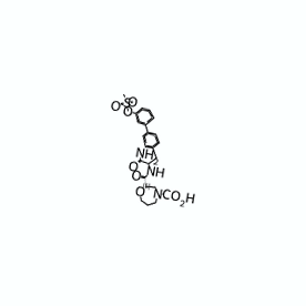 CS(=O)(=O)Oc1cccc(-c2ccc(CC(NC(=O)[C@@H]3CN(C(=O)O)CCCO3)C(N)=O)cc2)c1